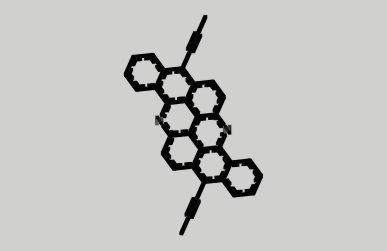 CC#Cc1c2ccccc2c2nc3ccc4c(C#CC)c5ccccc5c5nc6ccc1c2c6c3c45